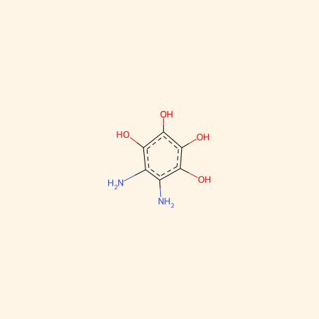 Nc1c(N)c(O)c(O)c(O)c1O